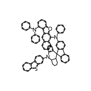 c1ccc(N(c2ccc3c(c2)C2(c4ccccc4-3)c3ccccc3N(c3ccc4c(c3)sc3ccccc34)C3CCCCC32)c2c3ccccc3cc3c2oc2cccc(N(c4ccccc4)c4ccccc4)c23)cc1